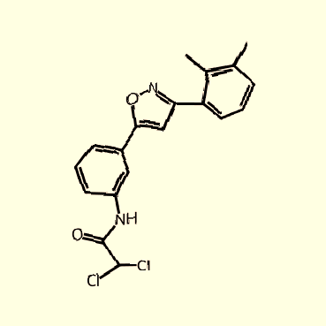 Cc1cccc(-c2cc(-c3cccc(NC(=O)C(Cl)Cl)c3)on2)c1C